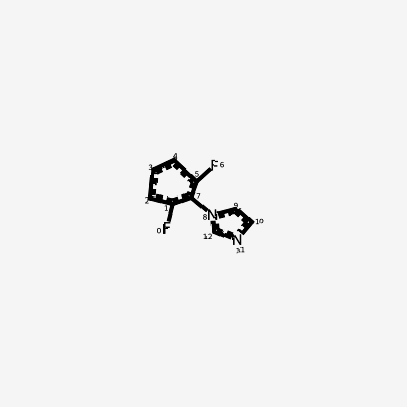 Fc1cccc(F)c1-n1[c]cnc1